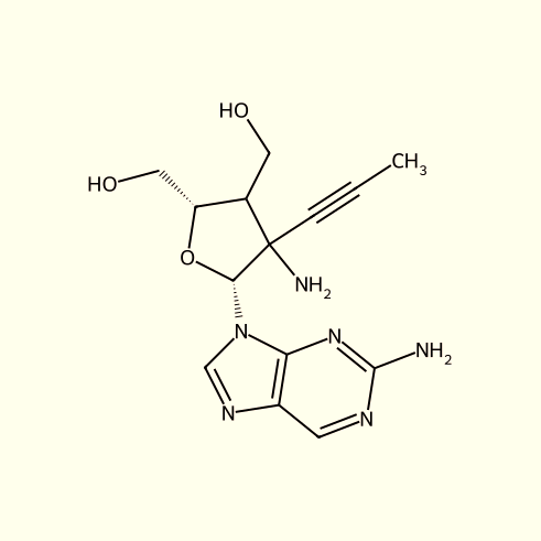 CC#CC1(N)C(CO)[C@@H](CO)O[C@H]1n1cnc2cnc(N)nc21